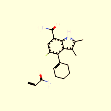 C=CC(=O)N[C@@H]1C=C(c2c(F)cc(C(N)=O)c3[nH]c(C)c(C)c23)CCC1